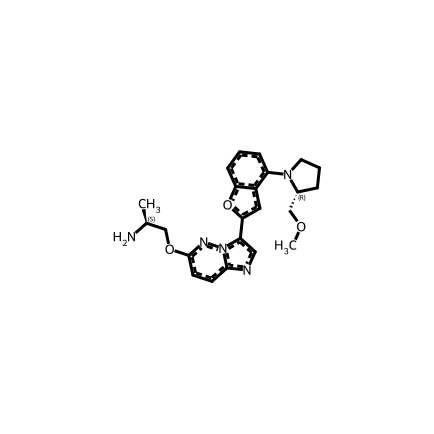 COC[C@H]1CCCN1c1cccc2oc(-c3cnc4ccc(OC[C@H](C)N)nn34)cc12